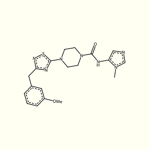 COc1cccc(Cc2nsc(N3CCN(C(=O)Nc4cncn4C)CC3)n2)c1